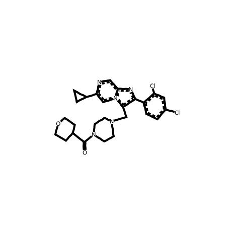 O=C(C1CCOCC1)N1CCN(Cc2c(-c3ccc(Cl)cc3Cl)nc3cnc(C4CC4)cn23)CC1